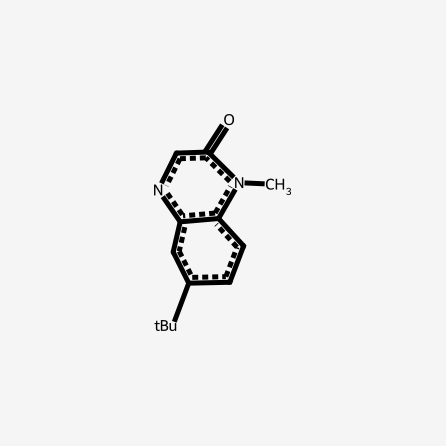 Cn1c(=O)cnc2cc(C(C)(C)C)ccc21